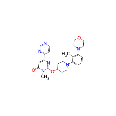 Cc1c(N2CCOCC2)cccc1N1CCC(Oc2nc(-c3ccncn3)cc(=O)n2C)CC1